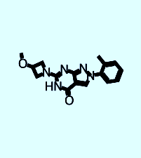 COC1CN(c2nc3nn(-c4ccccc4C)cc3c(=O)[nH]2)C1